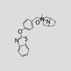 CC(=O)N1C2CCC1CN(Cc1ccc(Oc3nc4ccccc4s3)cc1)C2